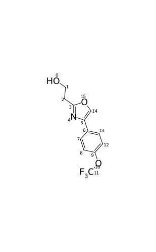 OCCc1nc(-c2ccc(OC(F)(F)F)cc2)co1